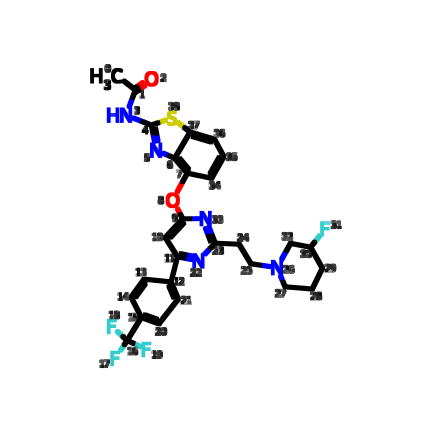 CC(=O)Nc1nc2c(Oc3cc(-c4ccc(C(F)(F)F)cc4)nc(CCN4CCCC(F)C4)n3)cccc2s1